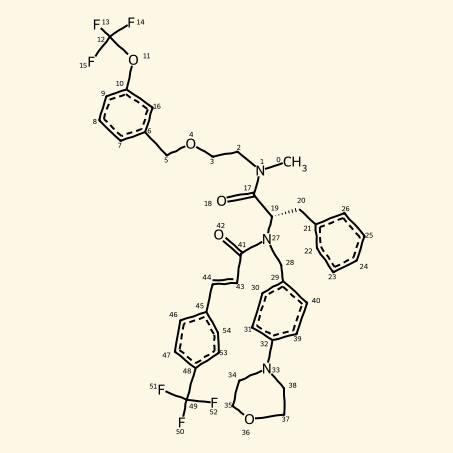 CN(CCOCc1cccc(OC(F)(F)F)c1)C(=O)[C@H](Cc1ccccc1)N(Cc1ccc(N2CCOCC2)cc1)C(=O)/C=C/c1ccc(C(F)(F)F)cc1